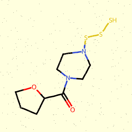 O=C(C1CCCO1)N1CCN(SSS)CC1